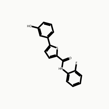 O=C(Nc1ccccc1F)c1ccc(-c2cccc(O)c2)s1